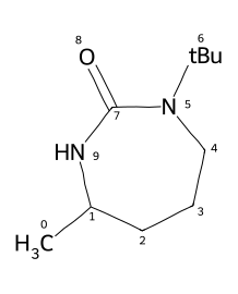 CC1CCCN(C(C)(C)C)C(=O)N1